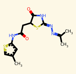 CC(C)=NN=C1NC(=O)C(CC(=O)Nc2cc(C)cs2)S1